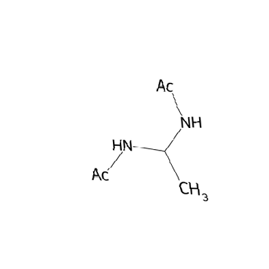 CC(=O)NC(C)NC(C)=O